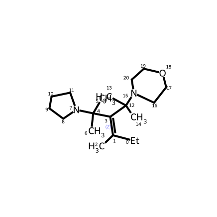 CC/C(C)=C(/C(C)(C)N1CCCC1)C(C)(C)N1CCOCC1